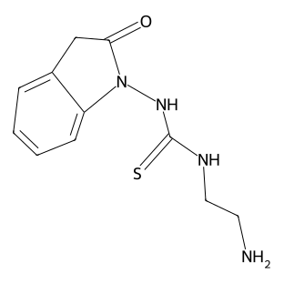 NCCNC(=S)NN1C(=O)Cc2ccccc21